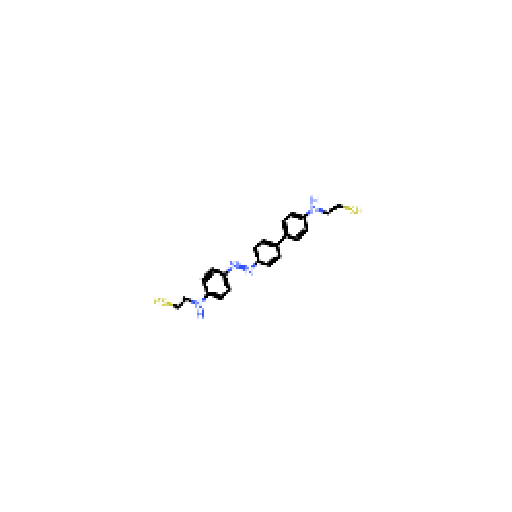 SCCNc1ccc(N=Nc2ccc(-c3ccc(NCCS)cc3)cc2)cc1